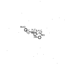 C=CC(=O)N(CC)c1cccc(NC(=N/C(C)CNC(=C)OCc2ccc(OC)cc2)/N=C(C)/C=C\C)c1